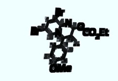 CCOC(=O)OC1N=C2C(Br)=CC(Br)=CN2C(c2ccc(OC)cc2)C1C